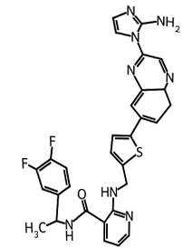 CC(NC(=O)c1cccnc1NCc1ccc(C2=CCC3N=CC(n4ccnc4N)=NC3=C2)s1)c1ccc(F)c(F)c1